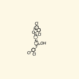 O=C(c1c(Cl)ccc2cc(Cl)cnc12)N1CCC(N2CC[C@H](Cc3ccc(Cl)c(Cl)c3)[C@H](CO)C2)CC1